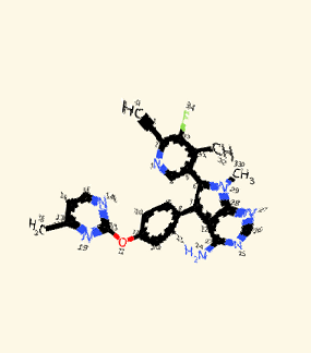 C#Cc1ncc(-c2c(-c3ccc(Oc4nccc(C)n4)cc3)c3c(N)ncnc3n2C)c(C)c1F